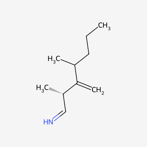 C=C(C(C)CCC)[C@@H](C)C=N